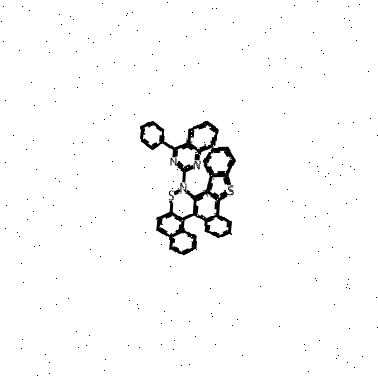 c1ccc(-c2nc(N3Sc4ccc5ccccc5c4-c4c3c3c5ccccc5sc3c3ccccc43)nc3ccccc23)cc1